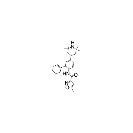 Cc1cc(C(=O)Nc2ccc(C3CC(C)(C)NC(C)(C)C3)cc2C2=CCCCC2)no1